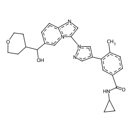 Cc1ccc(C(=O)NC2CC2)cc1-c1cnn(-c2cnc3ccc(C(O)C4CCOCC4)cn23)c1